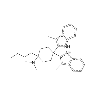 CCCCC1(N(C)C)CCC(c2[nH]c3ccccc3c2C)(c2[nH]c3ccccc3c2C)CC1